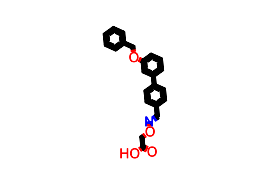 O=C(O)CO/N=C/c1ccc(-c2cccc(OCc3ccccc3)c2)cc1